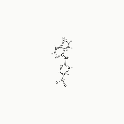 O=[N+]([O-])c1ccc(Nc2ncnc3[nH]cnc23)cc1